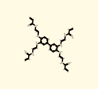 C=CC(=O)O/C=C/Oc1ccc(-c2ccc(O/C=C/OC(=O)C=C)c(O/C=C/OC(=O)C=C)c2)cc1O/C=C/OC(=O)C=C